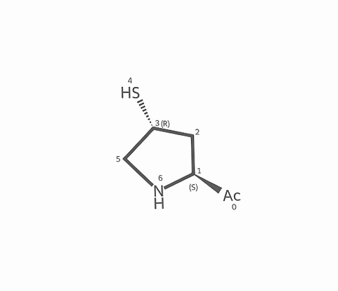 CC(=O)[C@@H]1C[C@@H](S)CN1